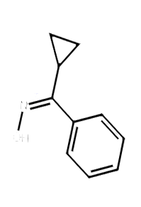 O/N=C(\c1ccccc1)C1CC1